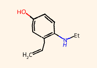 C=Cc1cc(O)ccc1NCC